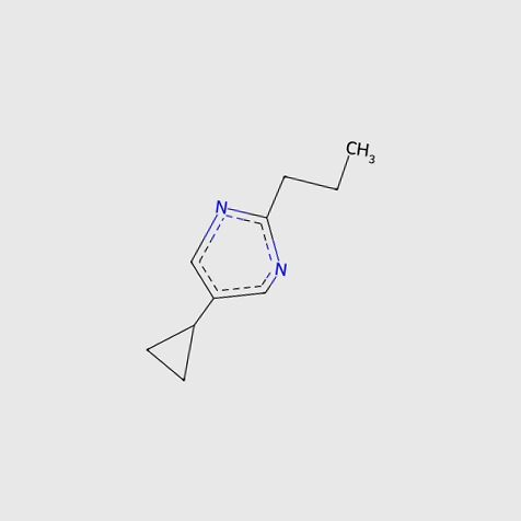 CCCc1ncc(C2CC2)cn1